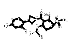 COc1c(S(C)(=O)=O)ccc(O[C@H](C)C(F)(F)F)c1C(=O)N1CC(c2ncc(C(F)(F)F)cc2Cl)C1